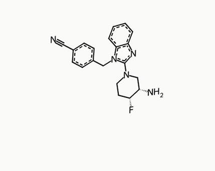 N#Cc1ccc(Cn2c(N3CC[C@@H](F)[C@@H](N)C3)nc3ccccc32)cc1